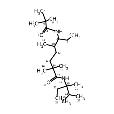 CCC(NC(=O)C(C)(C)C)C(C)CCC(C)(C)C(=O)NC(C)(CC)C(C)C